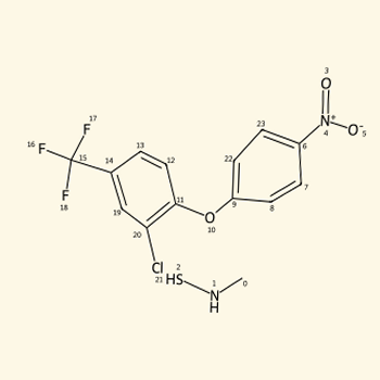 CNS.O=[N+]([O-])c1ccc(Oc2ccc(C(F)(F)F)cc2Cl)cc1